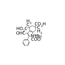 CC1(C(=O)O)CC2=C(C(C=O)=C(c3ccccc3)[N+]2(C(=O)[O-])C(C)(C)C)C(C)(C(=O)O)C1